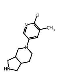 Cc1cc(N2CCC3CNCC3C2)cnc1Cl